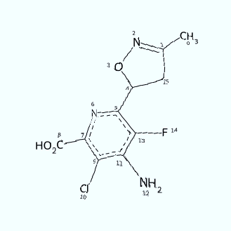 CC1=NOC(c2nc(C(=O)O)c(Cl)c(N)c2F)C1